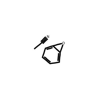 CC#N.c1ccc2c(c1)O2